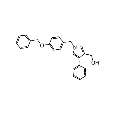 OCc1cn(Cc2ccc(OCc3ccccc3)cc2)cc1-c1ccccc1